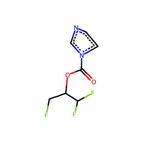 O=C(OC(CF)C(F)F)n1ccnc1